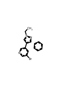 CCn1cc(-c2cncc(Br)c2)cn1.c1ccccc1